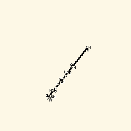 BC(=O)[C@H](CCCCNC(=O)COCCOCCNC(=O)COCCOCCNC(=O)CCCNC(=O)CCCCCCCCCCCCCCCCC(=O)O)NO